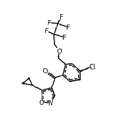 O=C(c1ccc(Cl)cc1COCC(F)(F)C(F)(F)F)c1cnoc1C1CC1